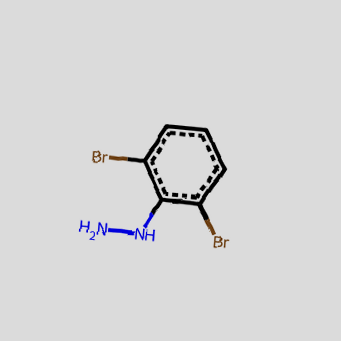 NNc1c(Br)cccc1Br